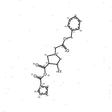 CCC1CN(CC(=O)OCc2ccccc2)CC1C(=O)OC(=O)n1ccnc1